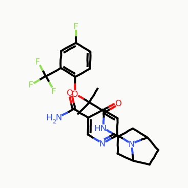 CC(C)(Oc1ccc(F)cc1C(F)(F)F)C(=O)NC1CC2CCC(C1)N2c1ccc(C(N)=O)cn1